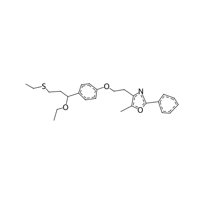 CCOC(CCSCC)c1ccc(OCCc2nc(-c3ccccc3)oc2C)cc1